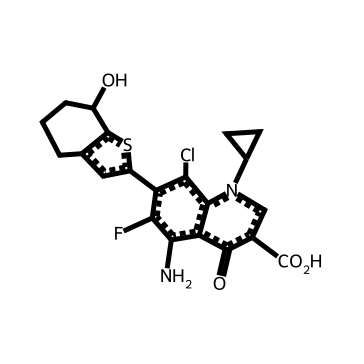 Nc1c(F)c(-c2cc3c(s2)C(O)CCC3)c(Cl)c2c1c(=O)c(C(=O)O)cn2C1CC1